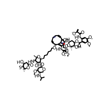 C=C(OC)C(=O)Nc1cc(OC)c(OC)cc1C(=O)O[C@H]1CC(O[C@@H]2C(=O)C(NC(=O)OC)=C3/C(=C\CSSSC)[C@]2(O)C#C/C=C\C#C[C@@H]3OCCCCCC[C@@H]2O[C@H](C)[C@@H](NO[C@H]3C[C@H](O)[C@H](SC)[C@@H](C)O3)[C@H](O)[C@H]2O[C@H]2C[C@H](OC)[C@@H](NC(C)C)CO2)O[C@@H](C)[C@@H]1O